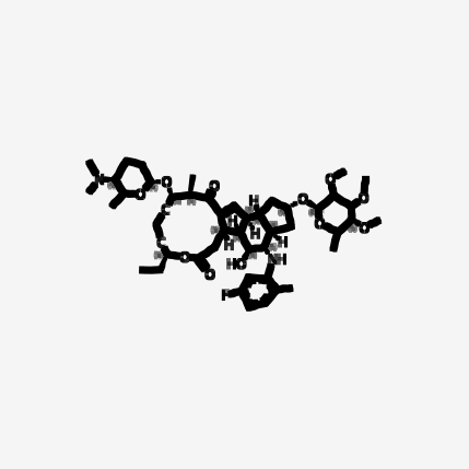 CC[C@H]1CCC[C@H](O[C@H]2CC[C@H](N(C)C)C(C)O2)[C@@H](C)C(=O)C2=C[C@H]3[C@@H]4C[C@H](O[C@@H]5OC(C)[C@H](OC)C(OC)C5OC)C[C@H]4[C@H](Nc4cc(F)ccc4C)[C@@H](O)[C@H]3[C@@H]2CC(=O)O1